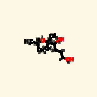 C[SiH](C)O[Si](C)(C)C(O)CCCO